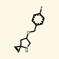 Fc1ccc(COC2CNC3(C=C3)C2)cc1